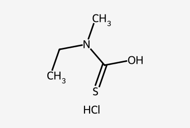 CCN(C)C(O)=S.Cl